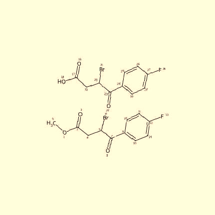 COC(=O)CC(Br)C(=O)c1ccc(F)cc1.O=C(O)CC(Br)C(=O)c1ccc(F)cc1